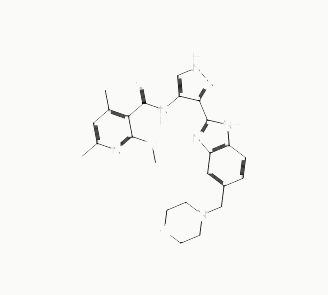 COc1nc(C)cc(C)c1C(=O)Nc1c[nH]nc1-c1nc2cc(CN3CCOCC3)ccc2[nH]1